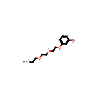 COCCOCCOCCOc1cccc(Br)c1